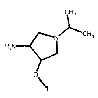 CC(C)N1CC(N)C(OI)C1